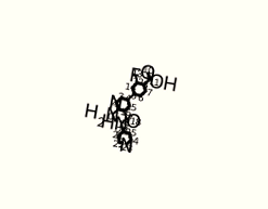 Nc1ncc(-c2ccc(C(=O)O)c(F)c2)cc1C(=O)Nc1ccncc1